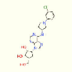 OC[C@H]1C[C@@H](n2cnc3c(N[C@H]4CCN(c5cccc(Cl)c5)C4)ncnc32)[C@@H](O)[C@H]1O